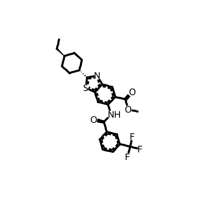 CC[C@H]1CC[C@H](c2nc3cc(C(=O)OC)c(NC(=O)c4cccc(C(F)(F)F)c4)cc3s2)CC1